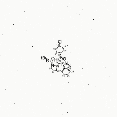 CC(C)(C)OC(=O)N1CCC[C@@H]1C(NC(=O)c1ccc(Cl)cc1)n1nnc2ccccc21